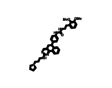 COc1cccc(CCNC(=O)Nc2ccc(C3Cc4cnc(NCCCN5CCCC5)nc4-c4ccccc43)cc2)c1OC